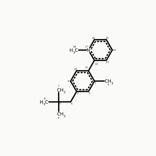 Cc1cc(CC(C)(C)C)ccc1-c1cccc[n+]1C